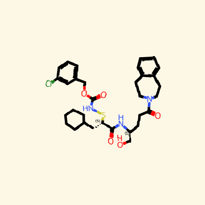 O=C(NS[C@@H](CC1CCCCC1)C(=O)N[C@H](CO)CCC(=O)N1CCc2ccccc2CC1)OCc1cccc(Cl)c1